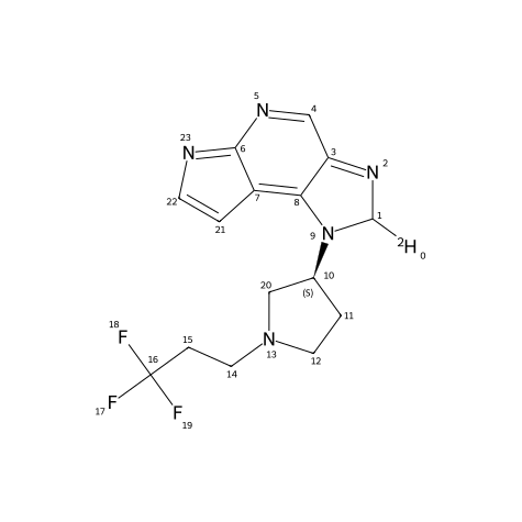 [2H]C1N=c2cnc3c(c2N1[C@H]1CCN(CCC(F)(F)F)C1)C=CN=3